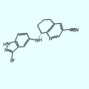 N#Cc1cnc2c(c1)CCC[C@H]2Nc1ccc2[nH]nc(Br)c2c1